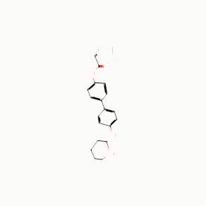 C=CC(=O)Oc1ccc(-c2ccc(OC3CCCCO3)cc2)cc1